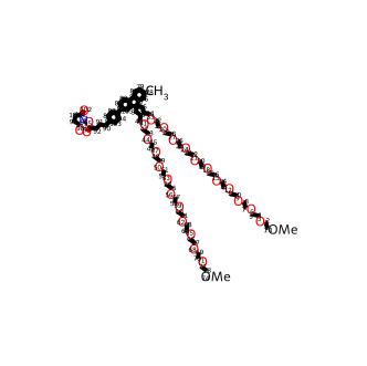 COCCOCCOCCOCCOCCOCCOCCOCCOCCOCCOCCOCCCC1(CCCOCCOCCOCCOCCOCCOCCOCCOCCOCCOCCOCCOC)c2cc(C)ccc2-c2ccc(-c3ccc(CCCC(=O)ON4C(=O)CCC4=O)cc3)cc21